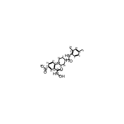 Cc1ccc(NC(=O)N2CCN(c3ccc([N+](=O)[O-])cc3C(=O)NO)CC2)c(C)c1